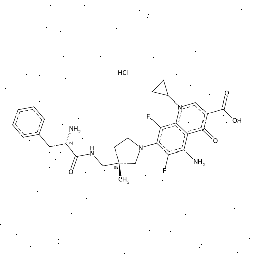 C[C@@]1(CNC(=O)[C@@H](N)Cc2ccccc2)CCN(c2c(F)c(N)c3c(=O)c(C(=O)O)cn(C4CC4)c3c2F)C1.Cl